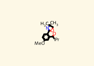 COc1ccc(C2=NC(C)(C)CO2)c(C(=O)C(C)C)c1